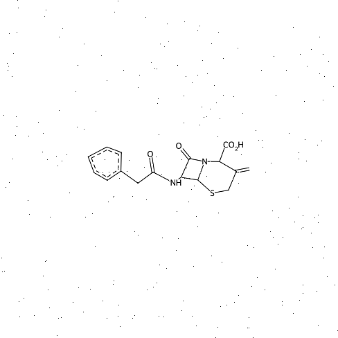 C=C1CSC2C(NC(=O)Cc3ccccc3)C(=O)N2C1C(=O)O